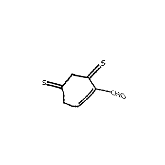 O=CC1=CCC(=S)CC1=S